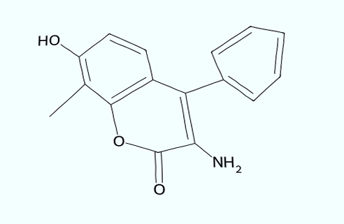 Cc1c(O)ccc2c(-c3ccccc3)c(N)c(=O)oc12